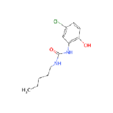 CCCCCNC(=O)Nc1cc(Cl)ccc1O